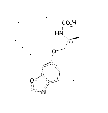 C[C@@H](COc1ccc2ncoc2c1)NC(=O)O